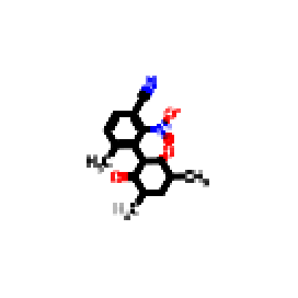 Cc1ccc(C#N)c([N+](=O)[O-])c1C1C(=O)C(C)CC(C)C1=O